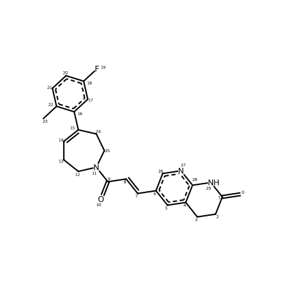 C=C1CCc2cc(/C=C/C(=O)N3CCC=C(c4cc(F)ccc4C)CC3)cnc2N1